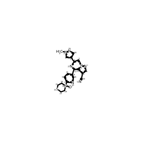 Cn1cc(-c2cn3ncc(C#N)c3c(-c3ccc([N+]4([O-])CCSCC4)nc3)n2)cn1